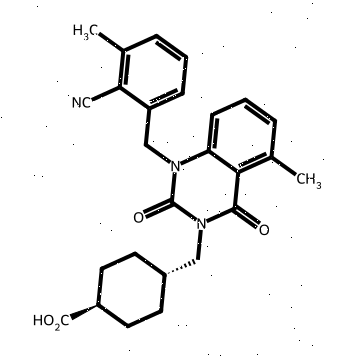 Cc1cccc(Cn2c(=O)n(C[C@H]3CC[C@H](C(=O)O)CC3)c(=O)c3c(C)cccc32)c1C#N